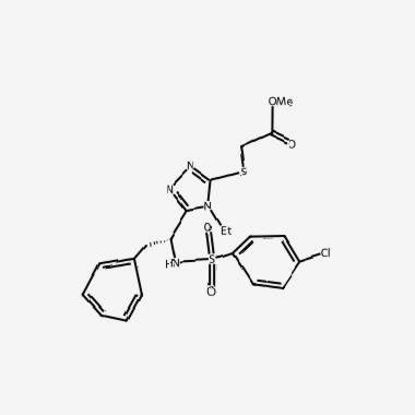 CCn1c(SCC(=O)OC)nnc1[C@@H](Cc1ccccc1)NS(=O)(=O)c1ccc(Cl)cc1